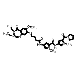 CC[C@H]1C=Nc2cc(OCCCC(=O)Nc3cc(C(=O)Nc4cc(C(=O)N5CCCC5)n(C)c4)n(C)c3)c(OC)cc2C(=O)N1CC